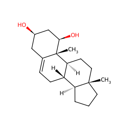 C[C@@]12CCC[C@H]1[C@@H]1CC=C3C[C@@H](O)C[C@@H](O)[C@]3(C)[C@H]1CC2